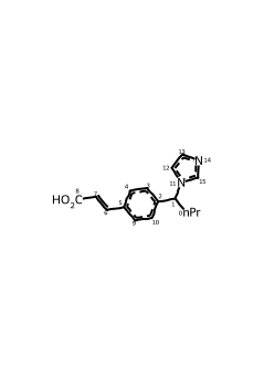 CCCC(c1ccc(C=CC(=O)O)cc1)n1ccnc1